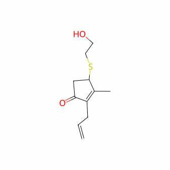 C=CCC1=C(C)C(SCCO)CC1=O